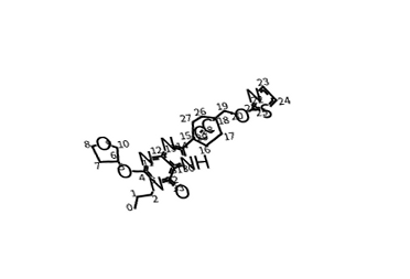 CCCn1c(OC2CCOC2)nc2nc(C34CCC(COc5nccs5)(CC3)CC4)[nH]c2c1=O